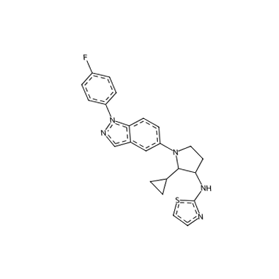 Fc1ccc(-n2ncc3cc(N4CCC(Nc5nccs5)C4C4CC4)ccc32)cc1